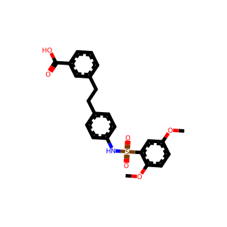 COc1ccc(OC)c(S(=O)(=O)Nc2ccc(CCc3cccc(C(=O)O)c3)cc2)c1